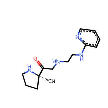 N#C[C@]1(C(=O)CNCCNc2ccccn2)CCCN1